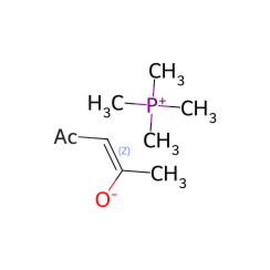 CC(=O)/C=C(/C)[O-].C[P+](C)(C)C